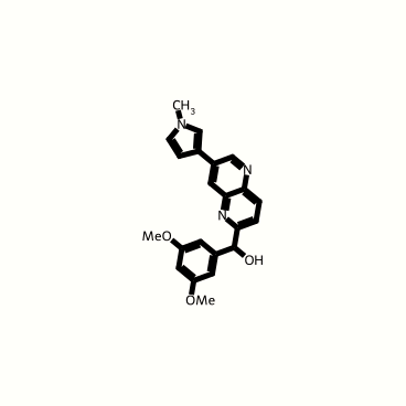 COc1cc(OC)cc(C(O)c2ccc3ncc(-c4ccn(C)c4)cc3n2)c1